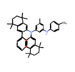 Cc1cc(Nc2ccc(C(C)(C)C)cc2)cc(N(c2ccc3c(c2)C(C)(C)CCC3(C)C)c2cc3c(cc2-c2ccccc2)C(C)(C)CCC3(C)C)c1